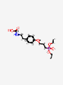 CCOP(=O)(CCCOc1ccc(CCNC(=O)O)cc1)OCC